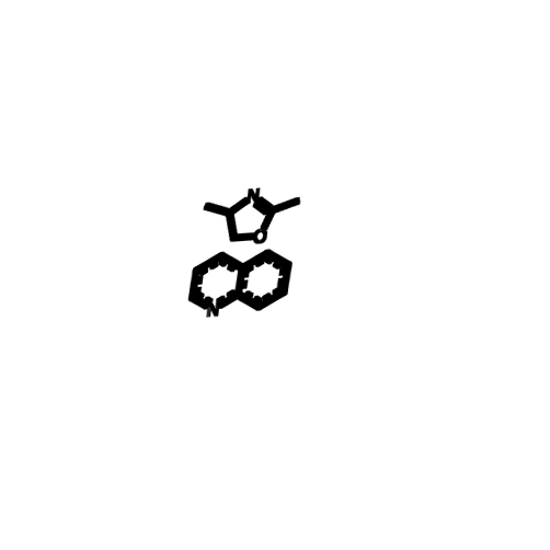 CC1=NC(C)CO1.c1ccc2ncccc2c1